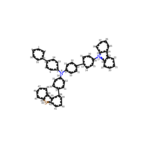 c1ccc(-c2ccc(N(c3ccc(-c4ccc(-n5c6ccccc6c6ccccc65)cc4)cc3)c3ccc(-c4cccc5sc6ccccc6c45)cc3)cc2)cc1